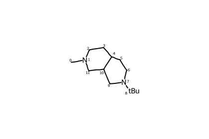 CN1CCC2CCN(C(C)(C)C)CC2C1